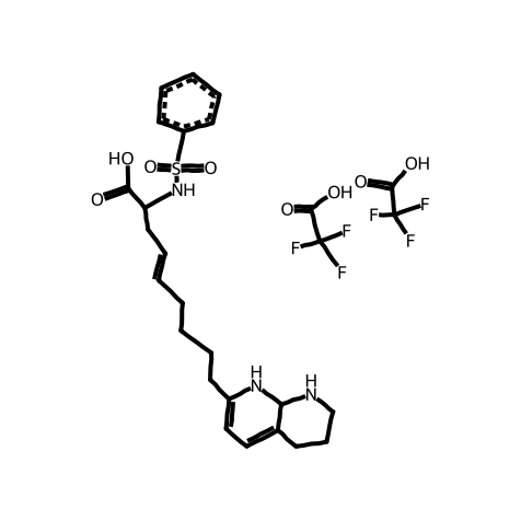 O=C(O)C(CC=CCCCCC1=CC=C2CCCNC2N1)NS(=O)(=O)c1ccccc1.O=C(O)C(F)(F)F.O=C(O)C(F)(F)F